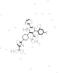 COC(=O)C1=C(C2CCC(c3nc(C(=O)O)co3)CC2)NC(c2nccs2)=NC1c1ccc(F)cc1Cl